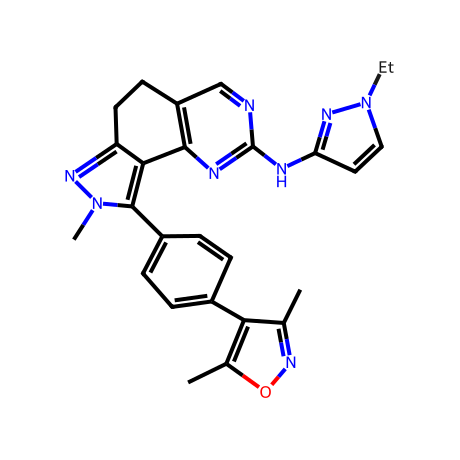 CCn1ccc(Nc2ncc3c(n2)-c2c(nn(C)c2-c2ccc(-c4c(C)noc4C)cc2)CC3)n1